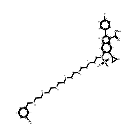 CNC(=O)c1c(-c2ccc(F)cc2)oc2cc(N(CCOCCOCCOCCOCCOCCOCc3cccc(C(C)=O)c3)S(C)(=O)=O)c(C3CC3)cc12